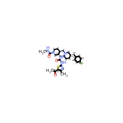 CNC(=O)N1CC[C@@H](CN2CCC[C@@H](Cc3ccc(F)cc3)C2)[C@H](NC(=O)Nc2nc(C)c(C(C)=O)s2)C1